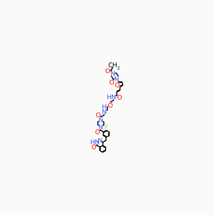 C=CC(=O)N1CCN(c2ccc(C=CC(=O)NCCOCCNCC(=O)N3CCN(C(=O)c4cc(Cc5n[nH]c(=O)c6ccccc56)ccc4F)CC3)o2)C(=O)C1